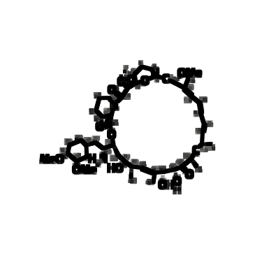 CO[C@H]1C[C@@H]2CC[C@@H](C)[C@@](O)(O2)C(=O)C(=O)N2CCCC[C@H]2C(=O)O[C@H]([C@H](N)C[C@@H]2CC[C@@H](OC)[C@H](OC)C2)C[C@@H](O)[C@H](C)/C=C(\C)[C@@H](O)[C@@H](O)C(=O)[C@H](C)C[C@H](C)/C=C/C=C/C=C/1C